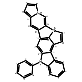 c1ccc(-n2c3ccccc3c3c4ccn5c6cn7cccc7cc6c(cc32)c45)cc1